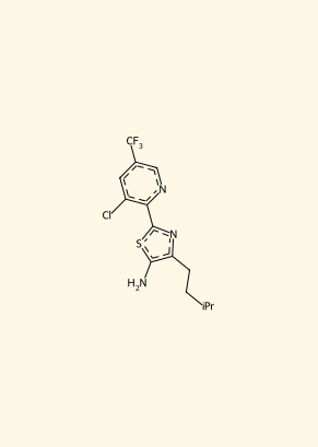 CC(C)CCc1nc(-c2ncc(C(F)(F)F)cc2Cl)sc1N